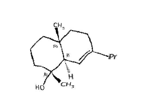 CC(C)C1=C[C@@H]2[C@](C)(CCC[C@@]2(C)O)CC1